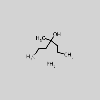 CCCC(C)(O)CCC.P